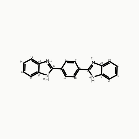 c1ccc2[nH]c(-c3ccc(-c4nc5ccccc5[nH]4)cc3)nc2c1